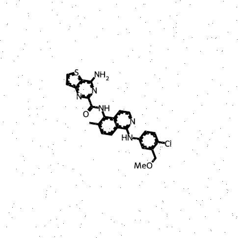 COCc1cc(Nc2nccc3c(NC(=O)c4nc(N)c5sccc5n4)c(C)ccc23)ccc1Cl